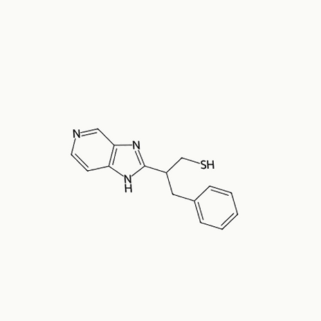 SCC(Cc1ccccc1)c1nc2cnccc2[nH]1